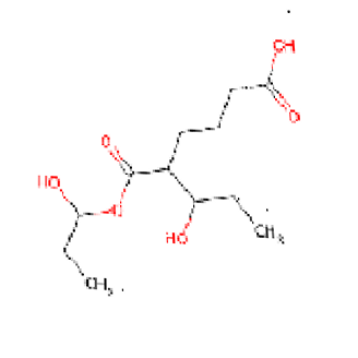 CCC(O)OC(=O)C(CCCC(=O)O)C(O)CC